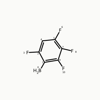 Bc1c(F)cc(F)c(F)c1F